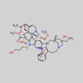 CC[C@]1(O)C[C@@H]2CN(CCc3c([nH]c4ccccc34)[C@@](C(=O)OC)(c3cc4c(cc3OC)N(SCCCO)[C@H]3[C@@](O)(C(=O)OC)[C@H](OC(C)=O)[C@]5(CC)C=CCN6CC[C@]43[C@@H]65)C2)C1